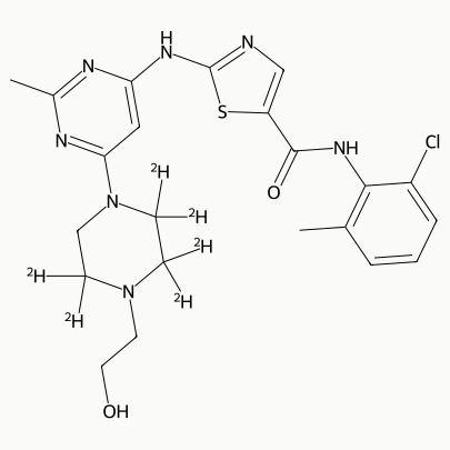 [2H]C1([2H])CN(c2cc(Nc3ncc(C(=O)Nc4c(C)cccc4Cl)s3)nc(C)n2)C([2H])([2H])C([2H])([2H])N1CCO